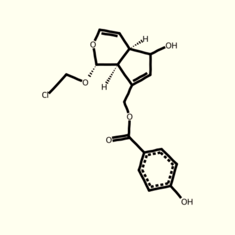 O=C(OCC1=CC(O)[C@@H]2C=CO[C@@H](OCCl)[C@H]12)c1ccc(O)cc1